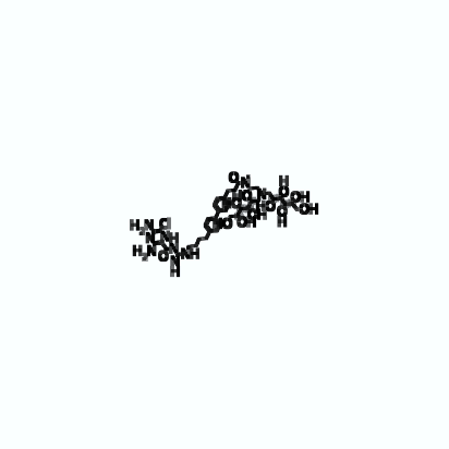 CN(CCN(C[C@H](O)[C@@H](O)[C@H](O)[C@H](O)CO)C[C@H](O)[C@@H](O)[C@H](O)[C@H](O)CO)C(=O)CCc1ccc(-c2ccc(CCCCNC(=N)NC(=O)c3nc(Cl)c(N)nc3N)cc2)cc1